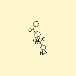 CC1CN(C(=O)c2ccccc2)CCN1C(=O)C(=O)c1ccc2scnc2c1